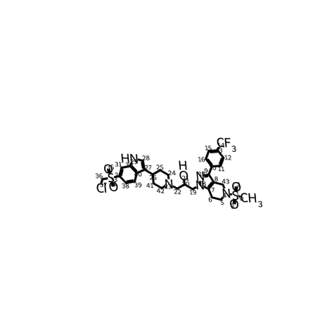 CS(=O)(=O)N1CCc2c(c(-c3ccc(C(F)(F)F)cc3)nn2CC(O)CN2CCC(c3c[nH]c4cc(S(=O)(=O)CCl)ccc34)CC2)C1